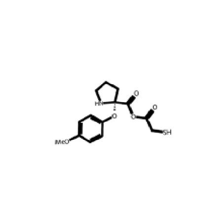 COc1ccc(O[C@@]2(C(=O)OC(=O)CS)CCCN2)cc1